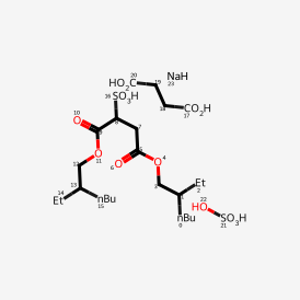 CCCCC(CC)COC(=O)CC(C(=O)OCC(CC)CCCC)S(=O)(=O)O.O=C(O)CCC(=O)O.O=S(=O)(O)O.[NaH]